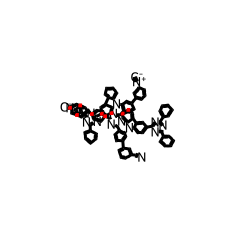 [C-]#[N+]c1ccc(-c2ccc(-c3nc(-c4ccc(-c5cccc(C#N)c5)cc4-n4c5ccccc5c5cc(-c6nc(-c7ccccc7)nc(-c7ccccc7)n6)ccc54)nc(-c4ccc(-c5cccc([N+]#[C-])c5)cc4-n4c5ccccc5c5cc(-c6nc(-c7ccccc7)nc(-c7ccccc7)n6)ccc54)n3)cc2)cc1